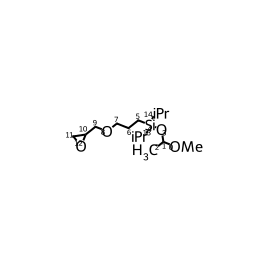 COC(C)O[Si](CCCOCC1CO1)(C(C)C)C(C)C